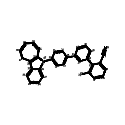 N#Cc1cccc(F)c1-c1cccc(-c2ccc(-n3c4c(c5ccccc53)CC=CC=C4)cc2)c1